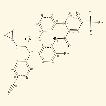 C=C(/C=C(/C(=O)Nc1cc(C(CCC2CC2)c2ccc(C#N)cc2)ccc1F)N(C)c1cccc(CN)c1)C(F)(F)F